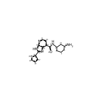 NC1CCCC(NC(=O)c2ccnc3[nH]c(-c4cccs4)nc23)C1